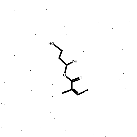 CC=C(C)C(=O)OC(O)CCO